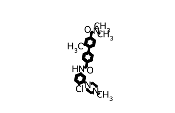 Cc1cc(C(=O)N(C)C)ccc1-c1ccc(C(=O)Nc2ccc(Cl)c(N3CCN(C)CC3)c2)cc1